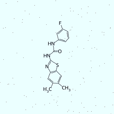 Cc1cc2nc(NC(=O)Nc3cccc(F)c3)sc2cc1C